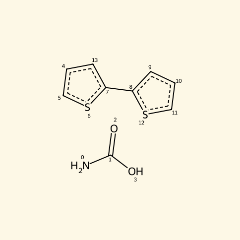 NC(=O)O.c1csc(-c2cccs2)c1